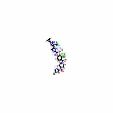 Cl.Cn1c(-c2cn(C3CC3)nc2C(F)(F)F)cnc1C(=O)Nc1ccc(C(=O)N2CCN(C(=O)[C@@H]3C[C@H](F)CN3)CC2)c(Cl)c1